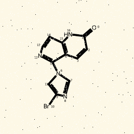 O=c1ccc2c(-n3cnc(Br)c3)nccc2[nH]1